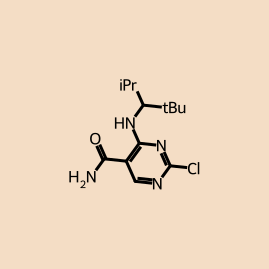 CC(C)C(Nc1nc(Cl)ncc1C(N)=O)C(C)(C)C